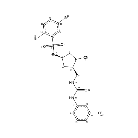 N#CN1C[C@H](NS(=O)(=O)c2cc(Br)ccc2Br)C[C@@H]1CNC(=O)Nc1cccc(C(F)(F)F)c1